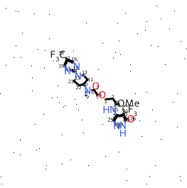 CO[C@@H](CCOCC(=O)N(C)C1CCN(c2ncc(C(F)(F)F)cn2)CC1)Nc1cn[nH]c(=O)c1C(F)(F)F